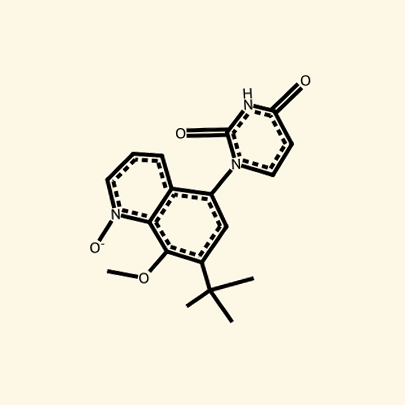 COc1c(C(C)(C)C)cc(-n2ccc(=O)[nH]c2=O)c2ccc[n+]([O-])c12